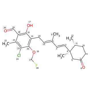 CC(/C=C/[C@]1(C)CC(=O)CC[C@H]1C)=C\Cc1c(O)c(C=O)c(C)c(Cl)c1OCF